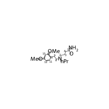 CCCN(CCCC(N)=O)CCc1ccc(OC)cc1OC